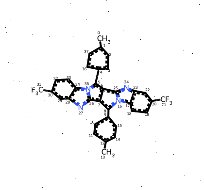 Cc1ccc(-c2c3c(c(-c4ccc(C)cc4)n4c5ccc(C(F)(F)F)cc5nc34)c3nc4cc(C(F)(F)F)ccc4n23)cc1